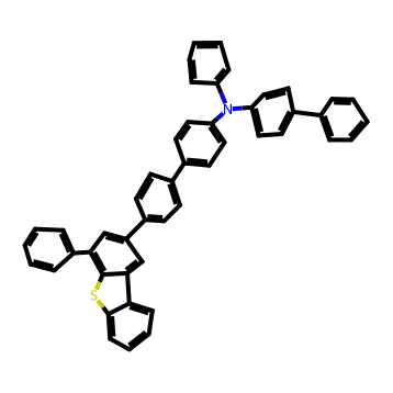 c1ccc(-c2ccc(N(c3ccccc3)c3ccc(-c4ccc(-c5cc(-c6ccccc6)c6sc7ccccc7c6c5)cc4)cc3)cc2)cc1